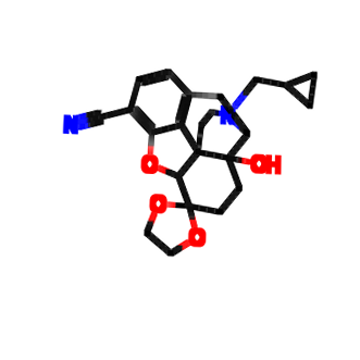 N#Cc1ccc2c3c1OC1C4(CCC5(O)C(C2)N(CC2CC2)CCC315)OCCO4